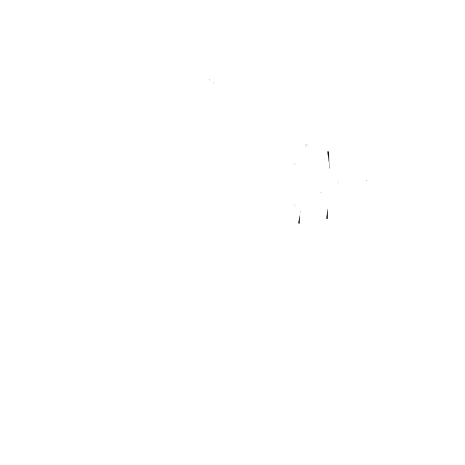 CCCCCCCCCOCCCO[C@H]1O[C@H]([C@@H](C)OCCCN(C)C)[C@@H]2OC(C)(C)O[C@H]12